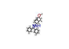 COc1ccc2cc(NN=C(c3ccccc3)c3ccccc3)ccc2c1